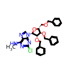 CNc1nc(Cl)nc2c1ncn2[C@@H]1O[C@H](COCc2ccccc2)[C@@H](OCc2ccccc2)[C@@H]1OCc1ccccc1